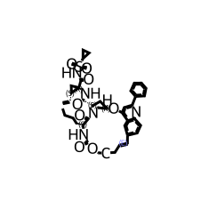 C=C[C@@H]1C[C@]1(NC(=O)[C@@H]1C[C@@H]2CN1C(=O)[C@H](CCCC)NC(=O)OCCC/C=C/c1ccc3nc(-c4ccccc4)cc(c3c1)O2)C(=O)NS(=O)(=O)C1CC1